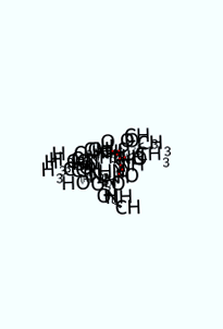 C#CCNC(=O)CC[C@@H]1NC(=O)[C@H]2CSc3[nH]c4cc(OC)ccc4c3C[C@H](NC(=O)[C@@H]([C@@H](C)C(C)O[Si](C)(C)C(C)(C)C)NC(=O)C3C[C@@H](O)CN3C1=O)C(=O)NCC(=O)N[C@@H]([C@@H](C)CC)C(=O)NCC(=O)N2